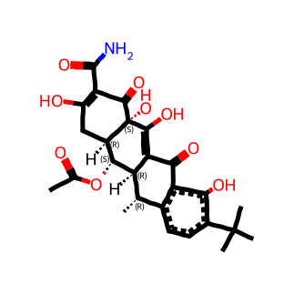 CC(=O)O[C@H]1[C@H]2C(=C(O)[C@]3(O)C(=O)C(C(N)=O)=C(O)C[C@H]13)C(=O)c1c(ccc(C(C)(C)C)c1O)[C@@H]2C